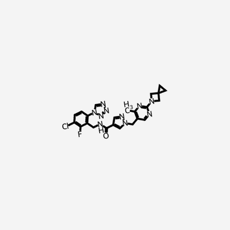 Cc1nc(N2CC3(CC3)C2)ncc1Cn1cc(C(=O)NCc2c(-n3cnnn3)ccc(Cl)c2F)cn1